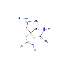 CCN[SiH](C)OC([SiH3])(O[SiH](C)NCC)O[SiH](C)NCC